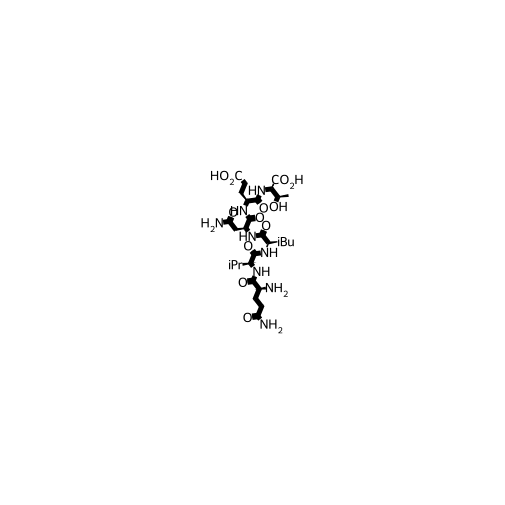 CC[C@H](C)[C@H](NC(=O)[C@@H](NC(=O)[C@@H](N)CCC(N)=O)C(C)C)C(=O)N[C@@H](CC(N)=O)C(=O)N[C@@H](CCC(=O)O)C(=O)N[C@H](C(=O)O)[C@@H](C)O